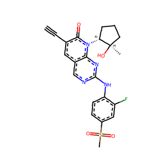 C#Cc1cc2cnc(Nc3ccc(S(C)(=O)=O)cc3F)nc2n([C@@H]2CCC[C@@]2(C)O)c1=O